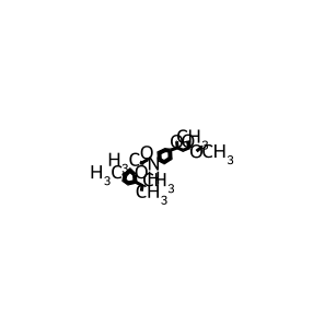 CCOC(=O)CC(OC)c1ccc(NC(=O)C(C)Oc2cc(C)ccc2C(C)C)cc1